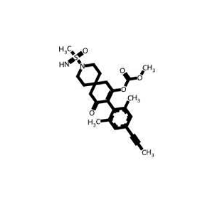 CC#Cc1cc(C)c(C2=C(OC(=O)OC)CC3(CCN(S(C)(=N)=O)CC3)CC2=O)c(C)c1